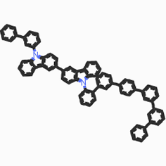 c1ccc(-c2cccc(-c3cccc(-c4ccc(-c5cccc(-c6ccccc6-n6c7ccccc7c7cc(-c8ccc9c(c8)c8ccccc8n9-c8cccc(-c9ccccc9)c8)ccc76)c5)cc4)c3)c2)cc1